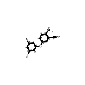 N#Cc1cc(Oc2cc(F)cc(F)c2)ccc1N